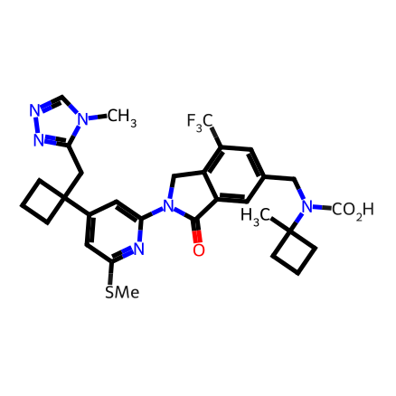 CSc1cc(C2(Cc3nncn3C)CCC2)cc(N2Cc3c(cc(CN(C(=O)O)C4(C)CCC4)cc3C(F)(F)F)C2=O)n1